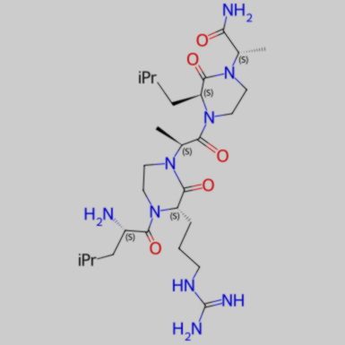 CC(C)C[C@H](N)C(=O)N1CCN([C@@H](C)C(=O)N2CCN([C@@H](C)C(N)=O)C(=O)[C@@H]2CC(C)C)C(=O)[C@@H]1CCCNC(=N)N